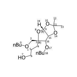 CCCCOC[C@@]1(CCCO)O[C@@H]2OC(C)(C)OC2C1OCCCC